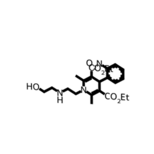 CCOC(=O)C1=C(C)N(CCNCCO)C(C)=C(C(=O)OCC)C1c1ccccc1[N+](=O)[O-]